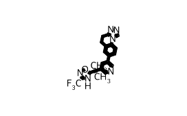 CC(C)(c1cncc(-c2ccc3c(c2)CCc2nncn2-3)c1)C1NC(C(F)(F)F)=NO1